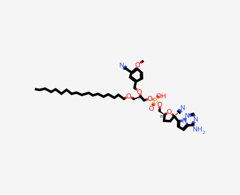 CCCCCCCCCCCCCCCCCCOC[C@H](COP(=O)(O)OC[C@@H]1CC[C@](C#N)(c2ccc3c(N)ncnn23)O1)OCc1ccc(OC)c(C#N)c1